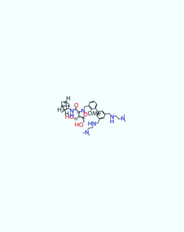 COc1c(CN2O[C@@H](CO)[C@H]([C@H](C)O)[C@H]2C(=O)NC2C[C@H]3C[C@@H]([C@@H]2C)C3(C)C)cccc1-c1cc(CNCCN(C)C)cc(CNCCN(C)C)c1